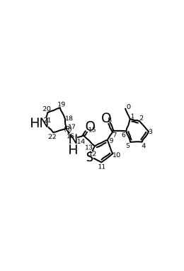 Cc1ccccc1C(=O)c1ccsc1C(=O)N[C@@H]1CCCNC1